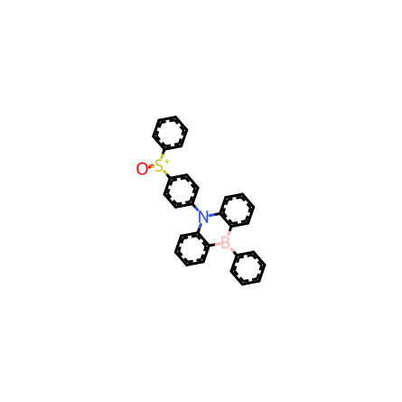 [O-][S+](c1ccccc1)c1ccc(N2c3ccccc3B(c3ccccc3)c3ccccc32)cc1